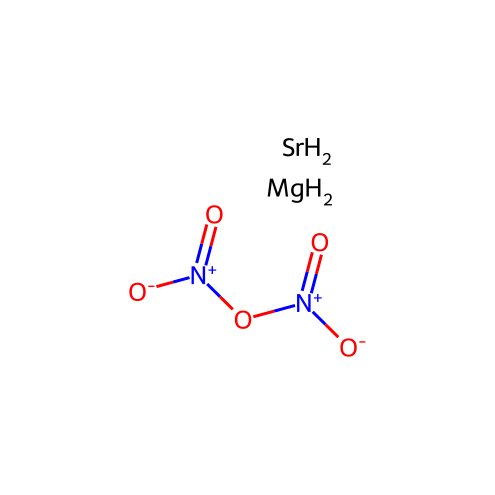 O=[N+]([O-])O[N+](=O)[O-].[MgH2].[SrH2]